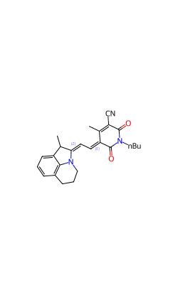 CCCCN1C(=O)C(C#N)=C(C)/C(=C\C=C2\C(C)c3cccc4c3N2CCC4)C1=O